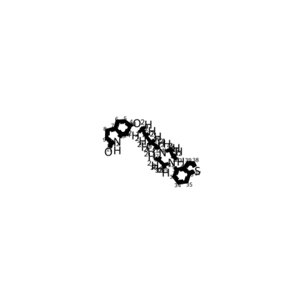 [2H]C([2H])(Oc1ccc2ccc(=O)[nH]c2c1)C([2H])([2H])C([2H])([2H])C([2H])([2H])N1C([2H])([2H])C([2H])([2H])N(c2cccc3sccc23)C([2H])([2H])C1([2H])[2H]